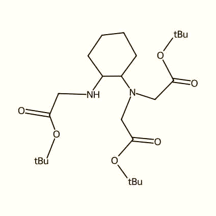 CC(C)(C)OC(=O)CNC1CCCCC1N(CC(=O)OC(C)(C)C)CC(=O)OC(C)(C)C